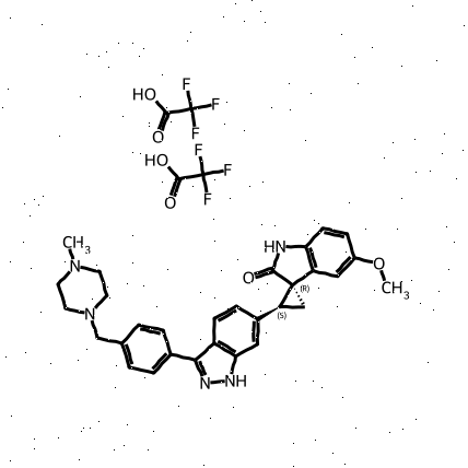 COc1ccc2c(c1)[C@]1(C[C@H]1c1ccc3c(-c4ccc(CN5CCN(C)CC5)cc4)n[nH]c3c1)C(=O)N2.O=C(O)C(F)(F)F.O=C(O)C(F)(F)F